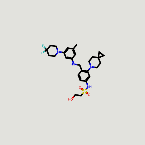 Cc1cc(NCc2ccc(NS(=O)(=O)CCO)cc2N2CCC3(CC2)CC3)cc(N2CCC(F)(F)CC2)c1